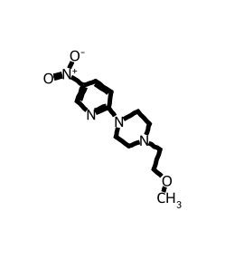 COCCN1CCN(c2ccc([N+](=O)[O-])cn2)CC1